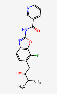 CC(C)C(=O)Cc1ccc2nc(NC(=O)c3cccnc3)oc2c1F